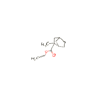 C=COC(=O)C1(C)CC2CCC1C2